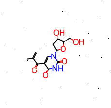 C=C(C)C(=O)c1cn([C@H]2C[C@H](O)[C@@H](CO)O2)c(=O)[nH]c1=O